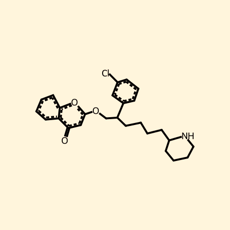 O=c1cc(OCC(CCCCC2CCCCN2)c2cccc(Cl)c2)oc2ccccc12